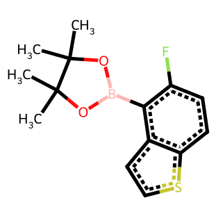 CC1(C)OB(c2c(F)ccc3sccc23)OC1(C)C